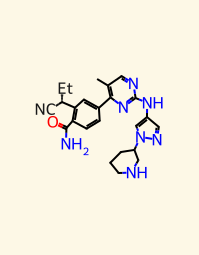 CC[C@H](C#N)c1cc(-c2nc(Nc3cnn(C4CCCNC4)c3)ncc2C)ccc1C(N)=O